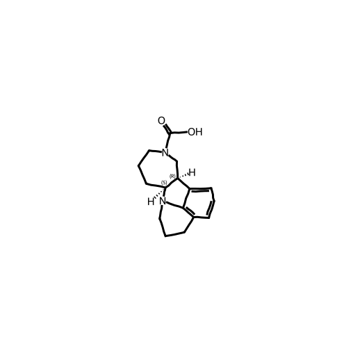 O=C(O)N1CCC[C@H]2[C@@H](C1)c1cccc3c1N2CCC3